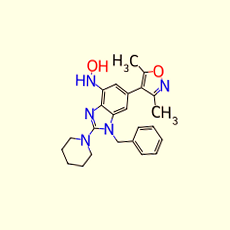 Cc1noc(C)c1-c1cc(NO)c2nc(N3CCCCC3)n(Cc3ccccc3)c2c1